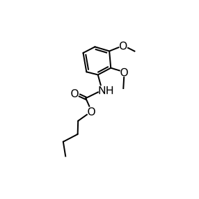 CCCCOC(=O)Nc1cccc(OC)c1OC